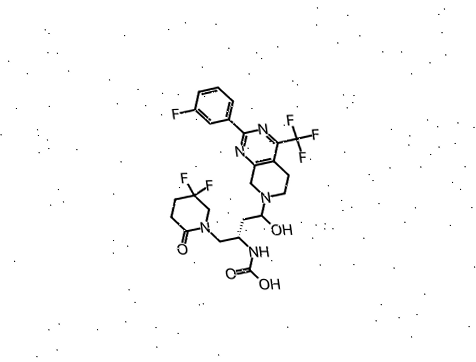 O=C(O)N[C@@H](CC(O)N1CCc2c(nc(-c3cccc(F)c3)nc2C(F)(F)F)C1)CN1CC(F)(F)CCC1=O